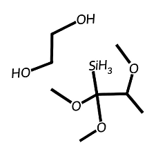 COC(C)C([SiH3])(OC)OC.OCCO